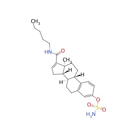 CCCCCNC(=O)C1=CC[C@H]2[C@@H]3CCc4cc(OS(N)(=O)=O)ccc4[C@H]3CC[C@]12C